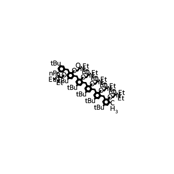 CCCc1cc(C(C)(C)C)cc(Cc2cc(C(C)(C)C)cc(Cc3cc(C(C)(C)C)cc(Cc4cc(C(C)(C)C)cc(Cc5cc(C(C)(C)C)cc(Cc6cc(C(C)(C)C)cc(C)c6OCC(=O)N(CC)CC)c5OCC(=O)N(CC)CC)c4OCC(=O)N(CC)CC)c3OCC(=O)N(CC)CC)c2OCC(=O)N(CC)CC)c1OCC(=O)N(CC)CC